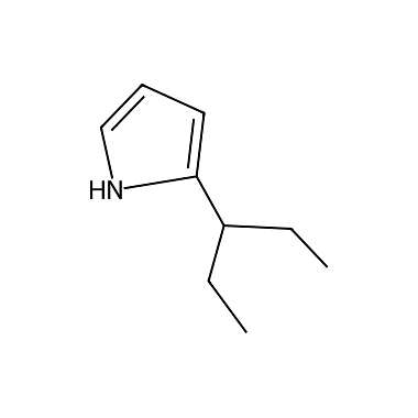 CCC(CC)c1ccc[nH]1